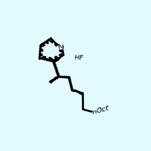 CCCCCCCCCCCCC(C)c1cccnc1.F